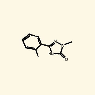 Cc1ccccc1-c1nn(C)c(=O)[nH]1